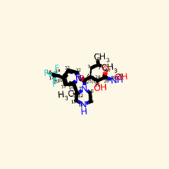 CC(C)C[C@H](C(=O)N1CCNC[C@]1(C)c1cc(C(F)(F)F)ccn1)[C@H](O)C(=O)NO